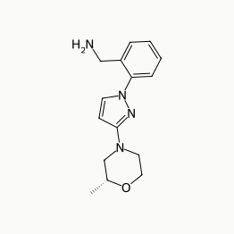 C[C@@H]1CN(c2ccn(-c3ccccc3CN)n2)CCO1